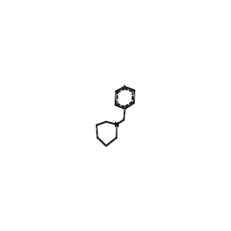 [c]1ccc(CN2CCCCC2)cc1